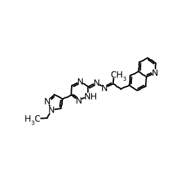 CCn1cc(-c2cn/c(=N/N=C(\C)Cc3ccc4ncccc4c3)[nH]n2)cn1